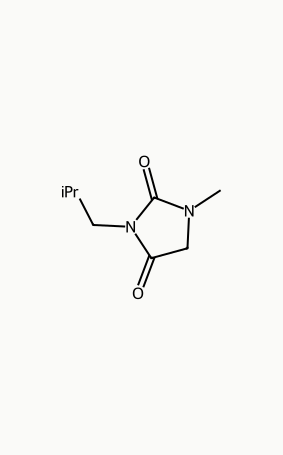 CC(C)CN1C(=O)CN(C)C1=O